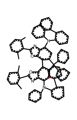 Cc1cccc(C)c1-c1nc2c(N(c3ccccc3)c3ccccc3-c3ccccc3)cc3c(c2o1)-c1c(cc(N(c2ccccc2)c2ccccc2-c2ccccc2)c2nc(-c4c(C)cccc4C)oc12)C3(c1ccccc1)c1ccccc1